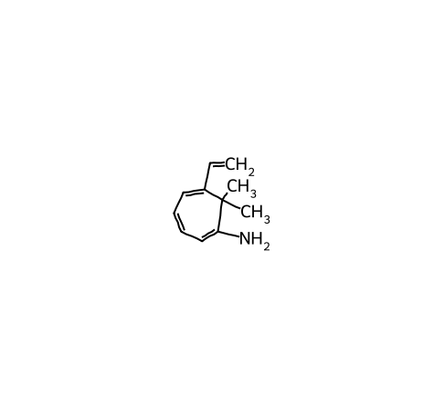 C=CC1=CC=CC=C(N)C1(C)C